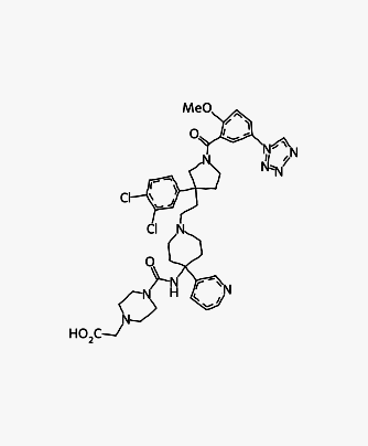 COc1ccc(-n2cnnn2)cc1C(=O)N1CCC(CCN2CCC(NC(=O)N3CCN(CC(=O)O)CC3)(c3cccnc3)CC2)(c2ccc(Cl)c(Cl)c2)C1